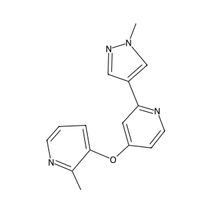 Cc1ncccc1Oc1ccnc(-c2cnn(C)c2)c1